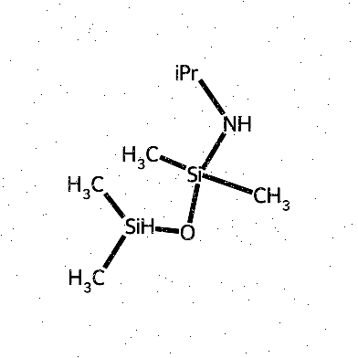 CC(C)N[Si](C)(C)O[SiH](C)C